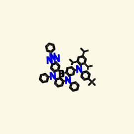 CC(C)c1cc(C(C)C)c(N(c2ccc(C(C)(C)C)cc2)c2ccc3c(c2)N(c2ccccc2)c2cccc4c2B3c2cc3nn(-c5ccccc5)nc3cc2N4c2ccccc2)c(C(C)C)c1